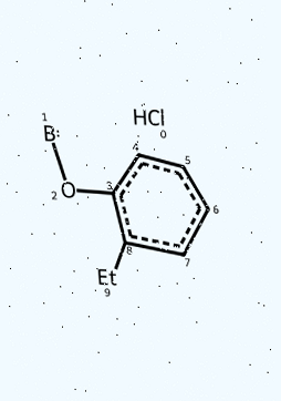 Cl.[B]Oc1ccccc1CC